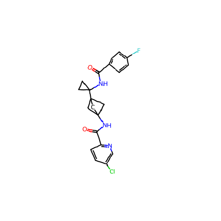 O=C(NC1(C23CC(NC(=O)c4ccc(Cl)cn4)(C2)C3)CC1)c1ccc(F)cc1